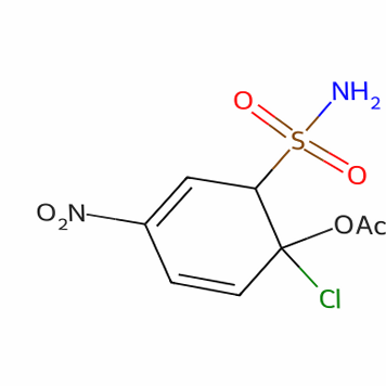 CC(=O)OC1(Cl)C=CC([N+](=O)[O-])=CC1S(N)(=O)=O